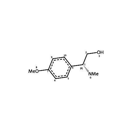 CN[C@@H](CO)c1ccc(OC)cc1